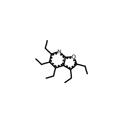 CCc1nc2oc(CC)c(CC)c2c(CC)c1CC